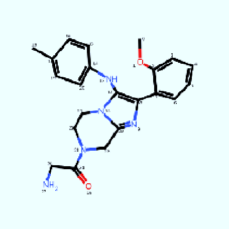 COc1ccccc1-c1nc2n(c1Nc1ccc(C)cc1)CCN(C(=O)CN)C2